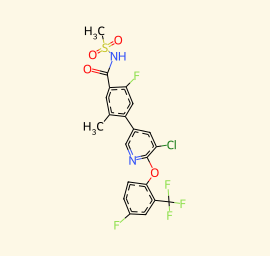 Cc1cc(C(=O)NS(C)(=O)=O)c(F)cc1-c1cnc(Oc2ccc(F)cc2C(F)(F)F)c(Cl)c1